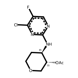 CC(=O)O[C@@H]1COCC[C@H]1Nc1ncc(F)c(Cl)n1